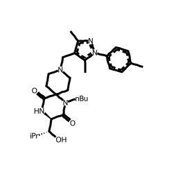 CCCCN1C(=O)[C@@H]([C@H](O)C(C)C)NC(=O)C12CCN(Cc1c(C)nn(-c3ccc(C)cc3)c1C)CC2